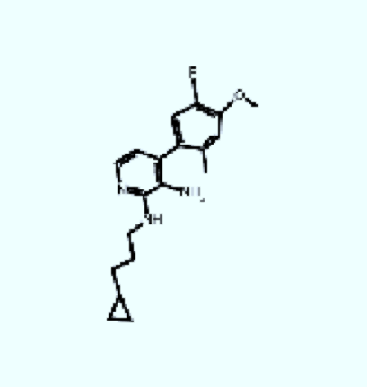 COc1cc(C)c(-c2ccnc(NCCCC3CC3)c2N)cc1F